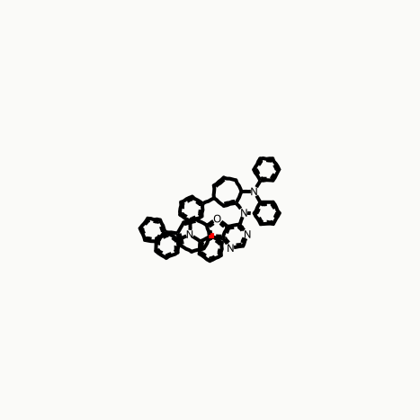 CN(C1=CC(c2cccc(N(c3ccccc3)c3ccccc3)c2)C=CCC1N(c1ccccc1)c1ccccc1)c1ncnc2c3c(oc12)/C=C\C(c1ccccc1)=C/CC3